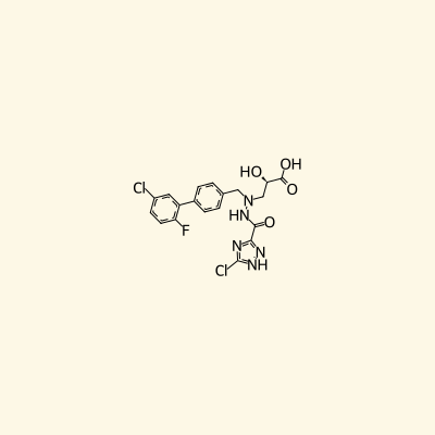 O=C(NN(Cc1ccc(-c2cc(Cl)ccc2F)cc1)C[C@@H](O)C(=O)O)c1n[nH]c(Cl)n1